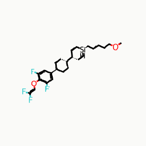 COCCCCC[Si@H]1CC[C@H]([C@H]2CC[C@H](c3cc(F)c(OC=C(F)F)c(F)c3)CC2)CC1